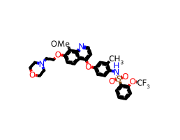 COc1c(OCCN2CCOCC2)ccc2c(Oc3ccc(NS(=O)(=O)c4ccccc4OC(F)(F)F)c(C)c3)ccnc12